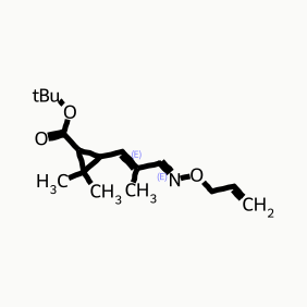 C=CCO/N=C/C(C)=C/C1C(C(=O)OC(C)(C)C)C1(C)C